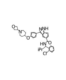 CC(C)C(NC(=O)c1ccc2[nH]nc(-c3ccc(OC4CCN(C5COC5)CC4)cc3)c2c1)c1ccccc1Cl